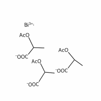 CC(=O)OC(C)C(=O)[O-].CC(=O)OC(C)C(=O)[O-].CC(=O)OC(C)C(=O)[O-].[Bi+3]